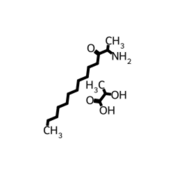 CC(O)C(=O)O.CCCCCCCCCCCC(=O)C(C)N